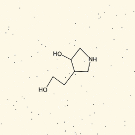 OCCC1CNCC1O